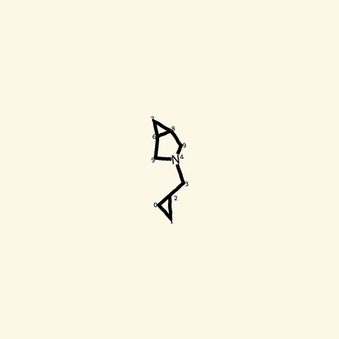 C1CC1CN1CC2CC2C1